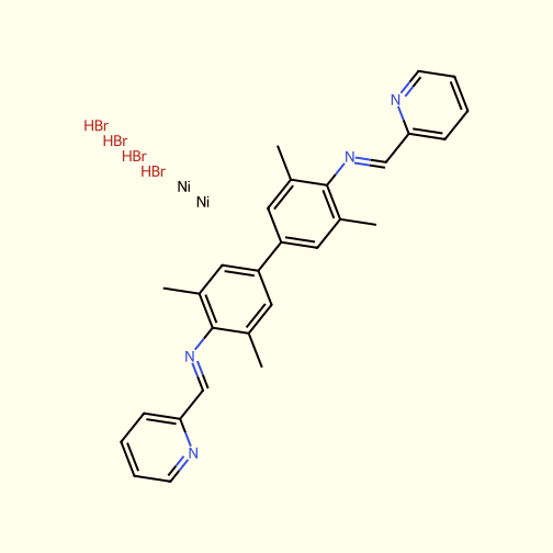 Br.Br.Br.Br.Cc1cc(-c2cc(C)c(N=Cc3ccccn3)c(C)c2)cc(C)c1N=Cc1ccccn1.[Ni].[Ni]